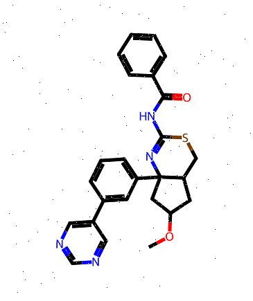 COC1CC2CSC(NC(=O)c3ccccc3)=NC2(c2cccc(-c3cncnc3)c2)C1